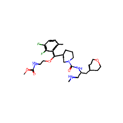 CNCC(CC1CCOCC1)NC(=O)N1CCCC(C(OCCNC(=O)OC)c2c(C)ccc(F)c2F)C1